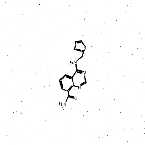 NC(=O)c1cccc2c(NCc3cccs3)ncnc12